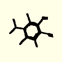 Cc1c(C)c(C(C)C)c(C)c(O)c1O